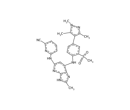 Cc1nc2c(Nc3ccc(-c4c(C)nn(C)c4C)cc3S(C)(=O)=O)cc(Nc3cccc(C#N)n3)nc2[nH]1